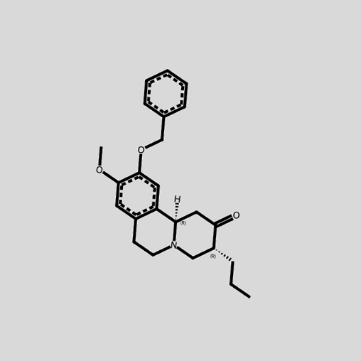 CCC[C@@H]1CN2CCc3cc(OC)c(OCc4ccccc4)cc3[C@H]2CC1=O